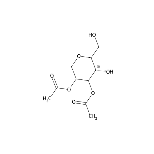 CC(=O)OC1COC(CO)[C@H](O)C1OC(C)=O